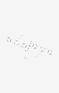 O=S(=O)(O)c1cc(Nc2nc(NCC(O)CO)nc(Nc3ccccc3)n2)ccc1C=Cc1ccc(Nc2nc(NCC(O)CO)nc(Nc3ccccc3)n2)cc1S(=O)(=O)O.[Na].[Na]